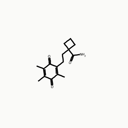 CC1=C(C)C(=O)C(CCC2(C(N)=O)CCC2)=C(C)C1=O